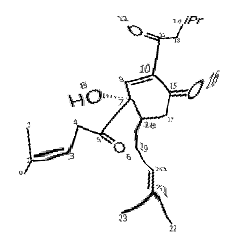 CC(C)=CCC(=O)[C@@]1(O)C=C(C(=O)CC(C)C)C(=O)CC1CC=C(C)C